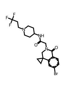 O=C(CN1CC2(CC2)c2cc(Br)ccc2C1=O)NC1CCN(CCC(F)(F)F)CC1